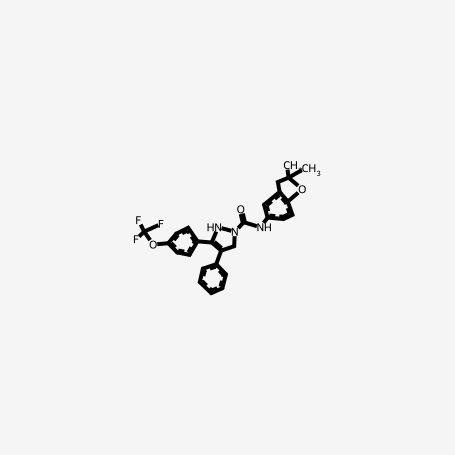 CC1(C)Cc2cc(NC(=O)N3CC(c4ccccc4)=C(c4ccc(OC(F)(F)F)cc4)N3)ccc2O1